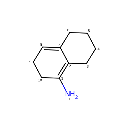 NC1=C2CCCCC2=CCC1